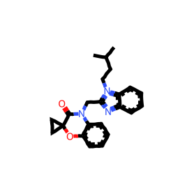 CC(C)CCn1c(CN2C(=O)C3(CC3)Oc3ccccc32)nc2ccccc21